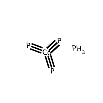 P.[P]#[Co](#[P])#[P]